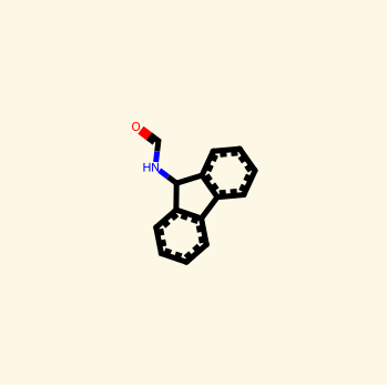 O=CNC1c2ccccc2-c2ccccc21